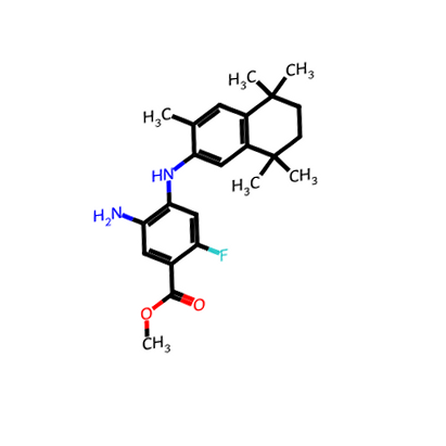 COC(=O)c1cc(N)c(Nc2cc3c(cc2C)C(C)(C)CCC3(C)C)cc1F